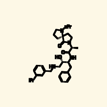 CCCN1CCC[C@@]12CCN([C@@H](C)C(=O)N[C@@H](Cc1ccccc1)[C@@H](O)CNCc1cccc(C(C)C)c1)C2=O